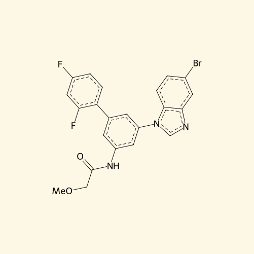 COCC(=O)Nc1cc(-c2ccc(F)cc2F)cc(-n2cnc3cc(Br)ccc32)c1